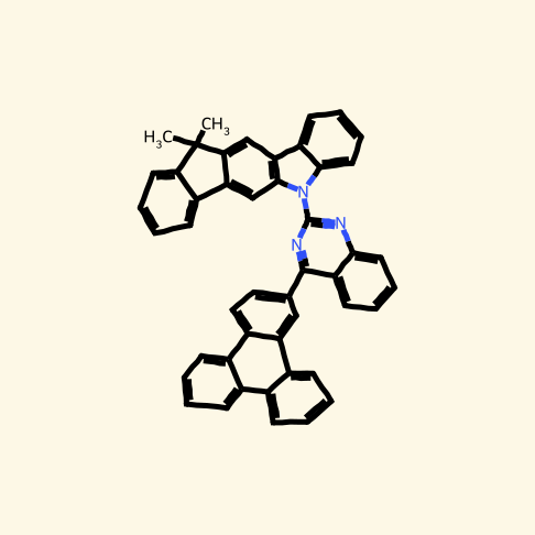 CC1(C)c2ccccc2-c2cc3c(cc21)c1ccccc1n3-c1nc(-c2ccc3c4ccccc4c4ccccc4c3c2)c2ccccc2n1